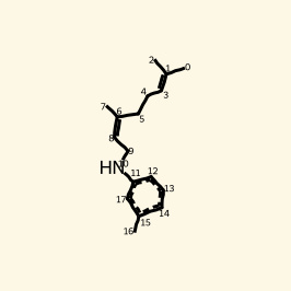 CC(C)=CCCC(C)=CCNc1cccc(C)c1